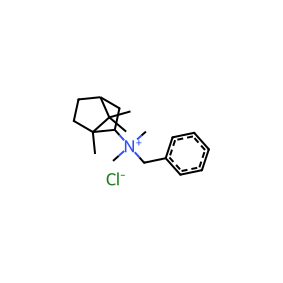 CC1(C)C2CCC1(C)C([N+](C)(C)Cc1ccccc1)C2.[Cl-]